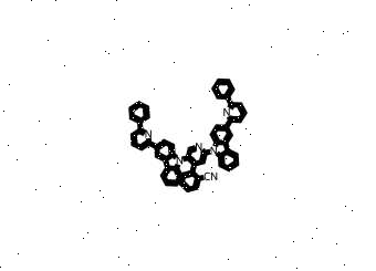 N#Cc1ccccc1-c1cc(-n2c3ccccc3c3cc(-c4cccc(-c5ccccc5)n4)ccc32)ncc1-n1c2ccccc2c2cc(-c3cccc(-c4ccccc4)n3)ccc21